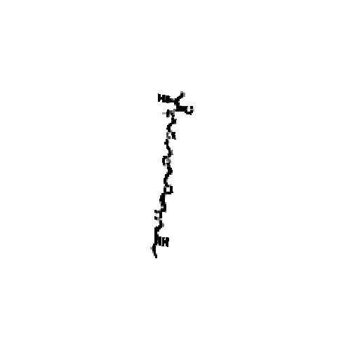 CCNCCOCCOCCOCCOCCNC(=O)C(C)S